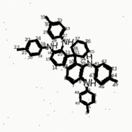 Cc1ccc(Nc2cccc(C3(c4cccc(Nc5ccc(C)cc5)c4Nc4ccc(C)cc4)CCCCC3)c2Nc2ccc(C)cc2)cc1